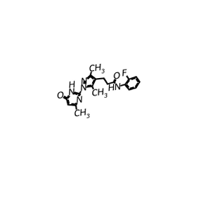 Cc1cc(=O)[nH]c(-n2nc(C)c(CCC(=O)Nc3ccccc3F)c2C)n1